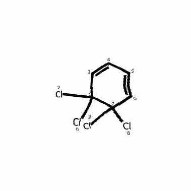 ClC1(Cl)C=[C]C=CC1(Cl)Cl